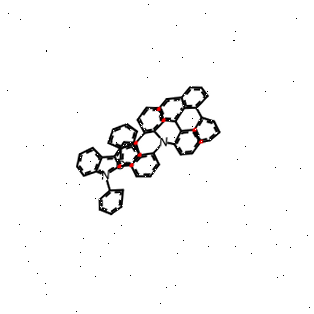 c1ccc(-c2cccc3cccc(-c4ccccc4N(c4ccccc4-c4ccc5c(c4)c4ccccc4n5-c4ccccc4)c4cccc5oc6ccccc6c45)c23)cc1